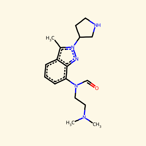 Cc1c2cccc(N(C=O)CCN(C)C)c2nn1C1CCNC1